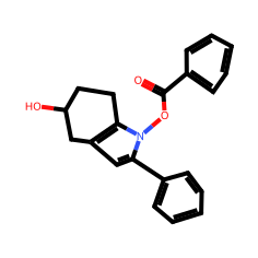 O=C(On1c(-c2ccccc2)cc2c1CCC(O)C2)c1ccccc1